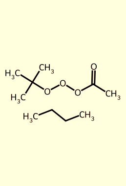 CC(=O)OOOC(C)(C)C.CCCC